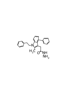 Cc1c(CC(=O)NN)c2c(-c3ccccc3)cccc2n1CCc1ccccc1